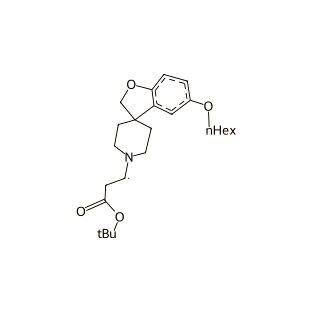 CCCCCCOc1ccc2c(c1)C1(CCN([CH]CC(=O)OC(C)(C)C)CC1)CO2